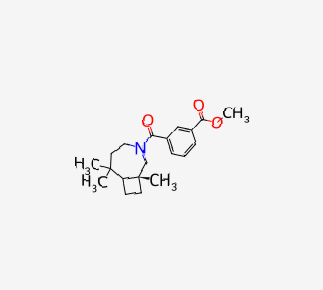 COC(=O)c1cccc(C(=O)N2CCC(C)(C)C3CC[C@@]3(C)C2)c1